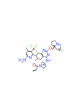 C=CC(=O)N1CC[C@@H](N(C)c2nc(OC[C@@]34CCCN3C[C@H](F)C4)nc3c2CC(C)C(c2nc(N)cc(C)c2C(F)(F)F)C3)C1